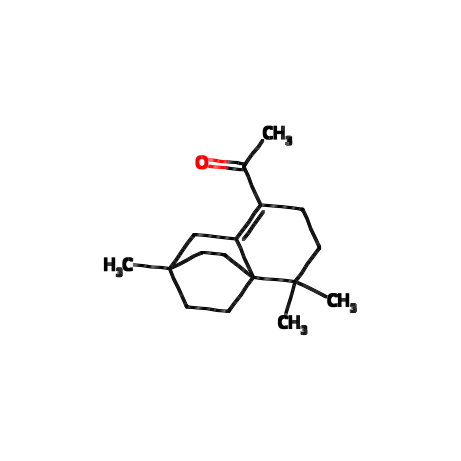 CC(=O)C1=C2CC3(C)CCC2(CC3)C(C)(C)CC1